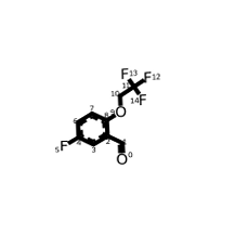 O=Cc1cc(F)ccc1OCC(F)(F)F